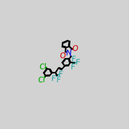 O=C1c2ccccc2C(=O)N1Cc1ccc(C=CC(c2cc(Cl)cc(Cl)c2)C(F)(F)F)cc1C(F)(F)F